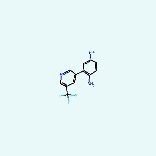 Nc1ccc(N)c(-c2cncc(C(F)(F)F)c2)c1